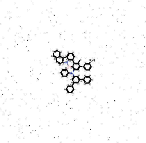 Cc1c(-c2cccc(C#N)c2)cc2c3c1-c1cccc4c5c6ccccc6ccc5n(c14)B3c1ccccc1N2c1cc(-c2ccccc2)cc(-c2ccccc2)c1